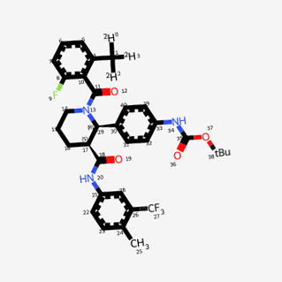 [2H]C([2H])([2H])c1cccc(F)c1C(=O)N1CCC[C@H](C(=O)Nc2ccc(C)c(C(F)(F)F)c2)[C@@H]1c1ccc(NC(=O)OC(C)(C)C)cc1